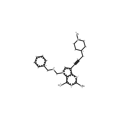 CCCCc1nc(N)c2c(n1)c(C#CCC1CCN(C(C)C)CC1)cn2COCc1ccccc1